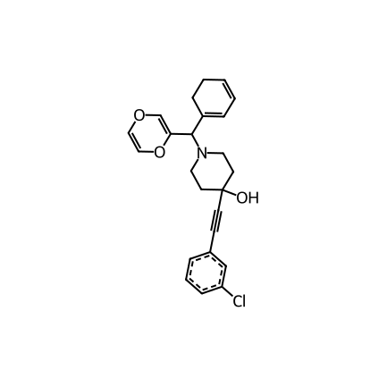 OC1(C#Cc2cccc(Cl)c2)CCN(C(C2=CC=CCC2)C2=COC=CO2)CC1